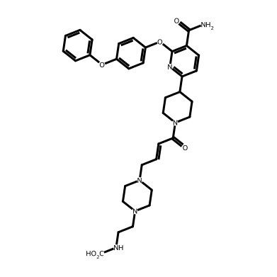 NC(=O)c1ccc(C2CCN(C(=O)C=CCN3CCN(CCNC(=O)O)CC3)CC2)nc1Oc1ccc(Oc2ccccc2)cc1